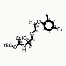 Cc1cc(F)ccc1O[C@@H](C)COC[C@@](C)(C=O)NC(=O)OC(C)(C)C